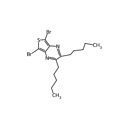 CCCCCc1nc2c(Br)sc(Br)c2nc1CCCCC